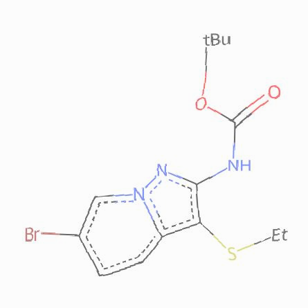 CCSc1c(NC(=O)OC(C)(C)C)nn2cc(Br)ccc12